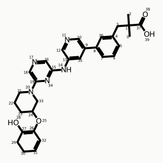 CC(C)(Cc1cccc(-c2cncc(Nc3cncc(N4CCCC(OC5=C(O)CCC=C5)C4)n3)c2)c1)C(=O)O